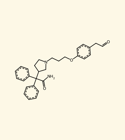 NC(=O)C(c1ccccc1)(c1ccccc1)C1CCN(CCCOc2ccc(CC=O)cc2)C1